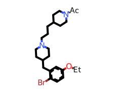 CCOc1ccc(Br)c(CC2CCN(CCCC3CCN(C(C)=O)CC3)CC2)c1